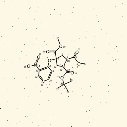 COC(=O)[C@@H]1CC(Oc2ccncc2[N+](=O)[O-])(C(=O)OC)CN1C(=O)OC(C)(C)C